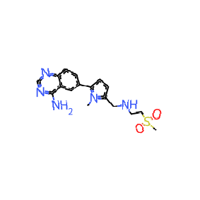 Cn1c(CNCCS(C)(=O)=O)ccc1-c1ccc2ncnc(N)c2c1